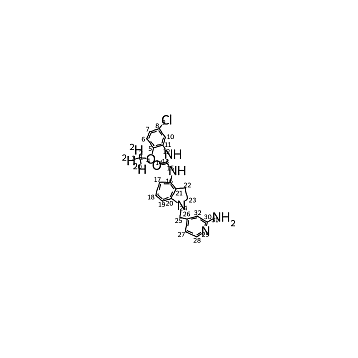 [2H]C([2H])([2H])Oc1ccc(Cl)cc1NC(=O)Nc1cccc2c1CCN2Cc1ccnc(N)c1